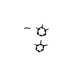 CC(C)(C)c1cccc(C(C)(C)C)c1O.CC(C)(C)c1cccc(C(C)(C)C)c1O.CC(C)[CH2][AlH2]